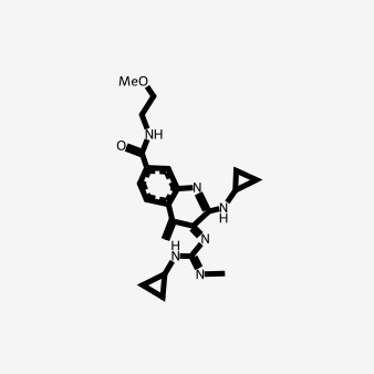 C=C1/C(=N\C(=N/C)NC2CC2)C(NC2CC2)=Nc2cc(C(=O)NCCOC)ccc21